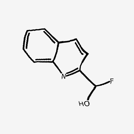 O[C](F)c1ccc2ccccc2n1